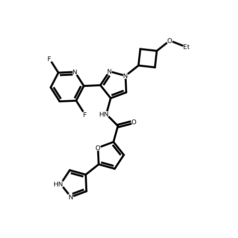 CCOC1CC(n2cc(NC(=O)c3ccc(-c4cn[nH]c4)o3)c(-c3nc(F)ccc3F)n2)C1